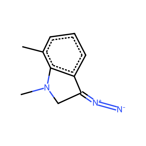 Cc1cccc2c1N(C)CC2=[N+]=[N-]